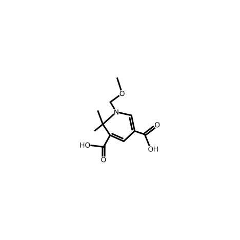 COCN1C=C(C(=O)O)C=C(C(=O)O)C1(C)C